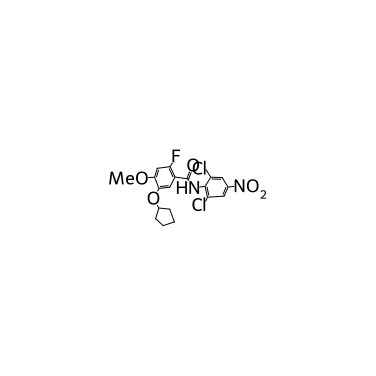 COc1cc(F)c(C(=O)Nc2c(Cl)cc([N+](=O)[O-])cc2Cl)cc1OC1CCCC1